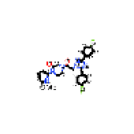 COc1cccc(N2CCN(C(=O)Cn3nc(-c4ccc(F)cc4)nc3-c3ccc(F)cc3)CC2=O)n1